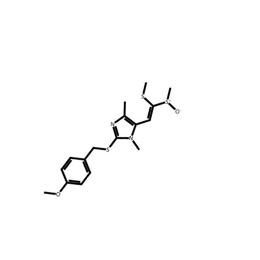 COc1ccc(CSc2nc(C)c(C=C(SC)[S+](C)[O-])n2C)cc1